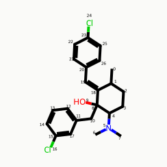 CC1CCC(N(C)C)C(O)(Cc2cccc(Cl)c2)C1=Cc1ccc(Cl)cc1